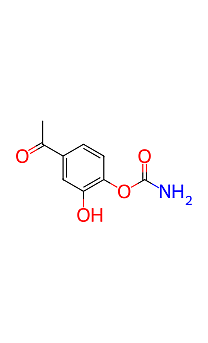 CC(=O)c1ccc(OC(N)=O)c(O)c1